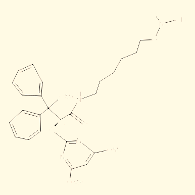 COc1cc(OC)nc(O[C@H](C(=O)NCCCCCCON(O)O)C(OC)(c2ccccc2)c2ccccc2)n1